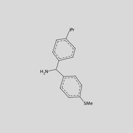 CSc1ccc(C(N)c2ccc(C(C)C)cc2)cc1